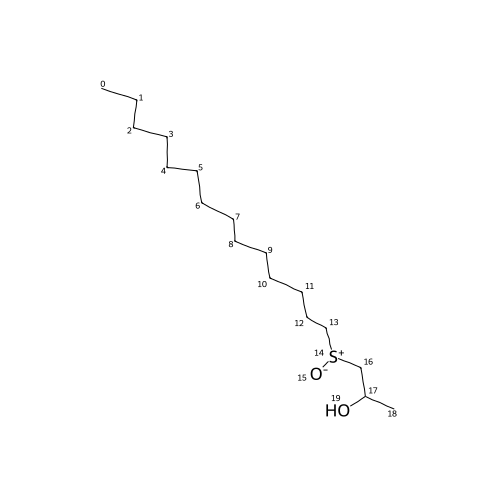 CCCCCCCCCCCCCC[S+]([O-])CC(C)O